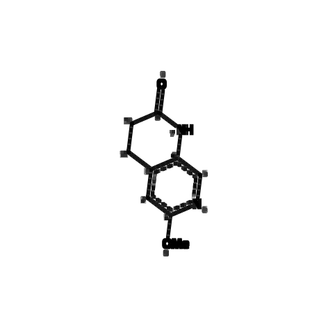 COc1cc2c(cn1)NC(=O)CC2